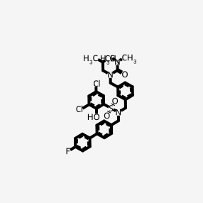 CC(C)CN(Cc1cccc(CN(Cc2ccc(-c3ccc(F)cc3)cc2)S(=O)(=O)c2cc(Cl)cc(Cl)c2O)c1)C(=O)N(C)C